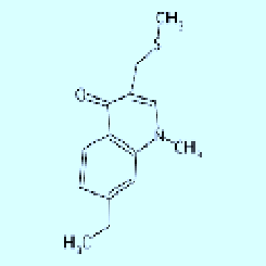 CCc1ccc2c(=O)c(CSC)cn(C)c2c1